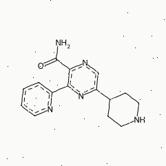 NC(=O)c1ncc(C2CCNCC2)nc1-c1ccccn1